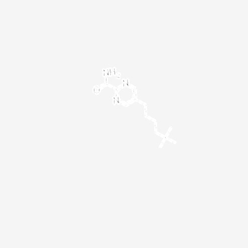 CC(C)(C)CCCCc1cnc(C(N)=O)nc1